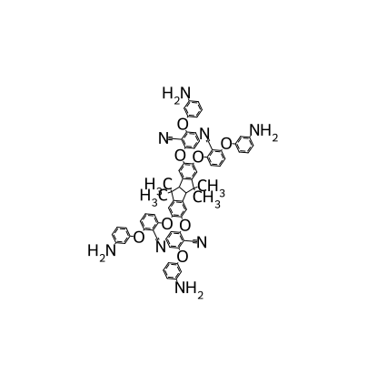 CC1(C)c2cc(Oc3cccc(Oc4cccc(N)c4)c3C#N)c(Oc3cccc(Oc4cccc(N)c4)c3C#N)cc2C2C1c1cc(Oc3cccc(Oc4cccc(N)c4)c3C#N)c(Oc3cccc(Oc4cccc(N)c4)c3C#N)cc1C2(C)C